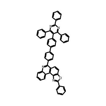 c1ccc(-c2nc(-c3ccccc3)c(-c3ccc(-c4ccc(-c5nc6ccccc6c6c5ccc5oc(-c7ccccc7)nc56)cc4)cc3)c(-c3ccccc3)n2)cc1